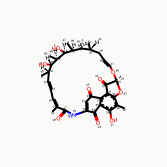 CC(=O)O[C@H]1[C@H](C)[C@H](O)[C@H](C)[C@@H](O)[C@@H](C)/C=C/C=C(/C)C(=O)NC2=CC(=O)c3c(c(O)c(C)c4c3C(=O)[C@@](C)(O/C=C/C[C@H]1C)O4)C2=O